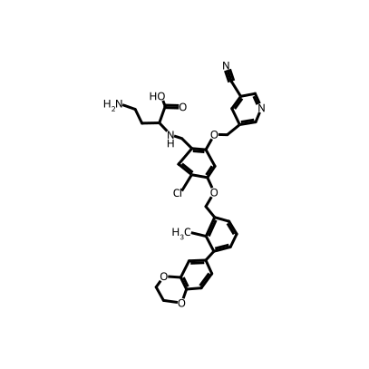 Cc1c(COc2cc(OCc3cncc(C#N)c3)c(CNC(CCN)C(=O)O)cc2Cl)cccc1-c1ccc2c(c1)OCCO2